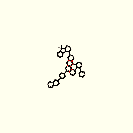 CC1(C)c2ccccc2-c2c(-c3ccc(N(c4ccc(-c5ccc(-c6ccc7ccccc7c6)cc5)cc4)c4cccc(-c5ccccc5)c4-c4ccccc4-c4ccccc4)cc3)cccc21